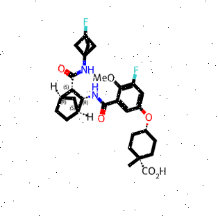 COc1c(F)cc(O[C@H]2CC[C@@](C)(C(=O)O)CC2)cc1C(=O)N[C@@H]1[C@H]2CC[C@H](C2)[C@@H]1C(=O)NC12CC(F)(C1)C2